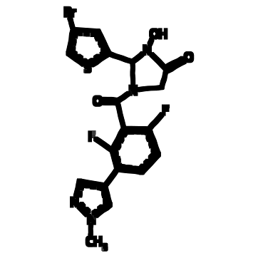 Cn1cc(-c2ccc(F)c(C(=O)N3CC(=O)N(O)C3c3cc(Br)cs3)c2F)cn1